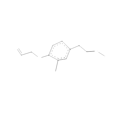 C=CCOc1ccc(CCOI)cc1Cl